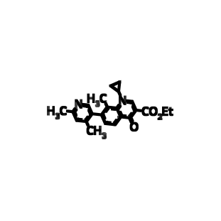 CCOC(=O)c1cn(C2CC2)c2c(C)c(-c3cnc(C)cc3C)ccc2c1=O